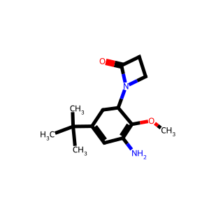 COC1=C(N)C=C(C(C)(C)C)CC1N1CCC1=O